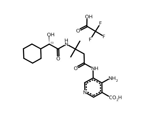 CC(C)(CC(=O)Nc1cncc(C(=O)O)c1N)NC(=O)[C@@H](O)C1CCCCC1.O=C(O)C(F)(F)F